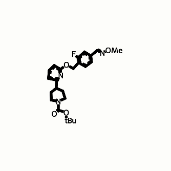 CON=Cc1ccc(COc2cccc(C3CCN(C(=O)OC(C)(C)C)CC3)n2)c(F)c1